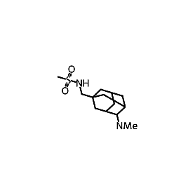 CNC1C2CC3CC1CC(CNS(C)(=O)=O)(C3)C2